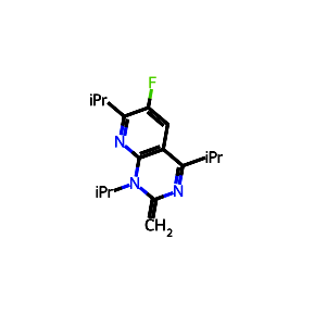 C=C1N=C(C(C)C)c2cc(F)c(C(C)C)nc2N1C(C)C